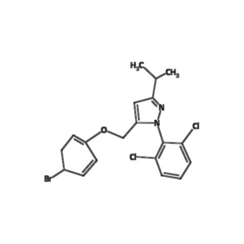 CC(C)c1cc(COC2=CCC(Br)C=C2)n(-c2c(Cl)cccc2Cl)n1